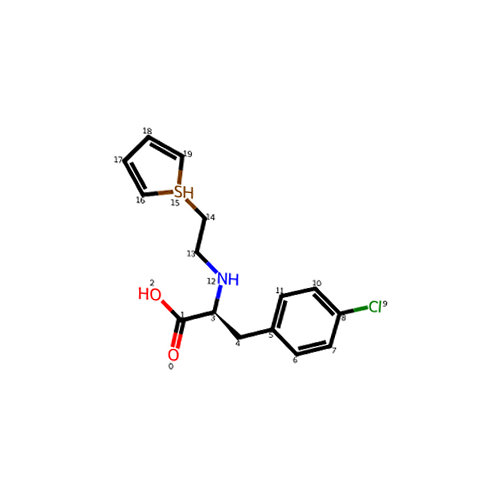 O=C(O)[C@H](Cc1ccc(Cl)cc1)NCC[SH]1C=CC=C1